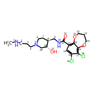 CNCCCN1CC[C@@H](CNC(=O)c2cc(Cl)c(Cl)c3c2OCCCO3)[C@H](O)C1